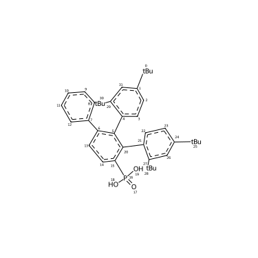 CC(C)(C)c1ccc(-c2c(-c3ccccc3)ccc(P(=O)(O)O)c2-c2ccc(C(C)(C)C)cc2C(C)(C)C)c(C(C)(C)C)c1